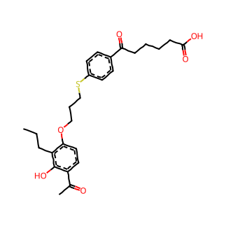 CCCc1c(OCCCSc2ccc(C(=O)CCCCC(=O)O)cc2)ccc(C(C)=O)c1O